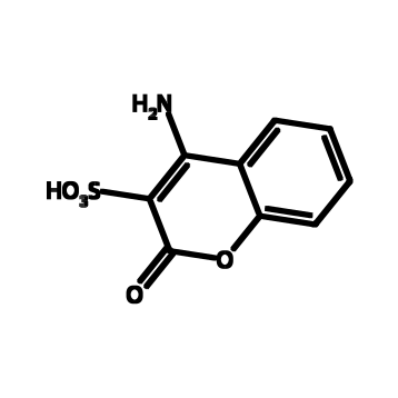 Nc1c(S(=O)(=O)O)c(=O)oc2ccccc12